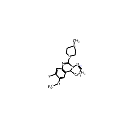 C/C=N\N1C(N2CCN(C)CC2)=Nc2cc(F)c(OC(F)(F)F)cc2C1C